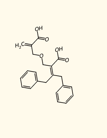 C=C(COCC(C(=O)O)=C(Cc1ccccc1)Cc1ccccc1)C(=O)O